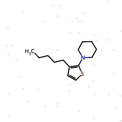 CCCCCc1ccsc1N1CCCCC1